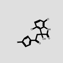 O=C(CC1(O)C(=O)Nc2c(Cl)ccc(Cl)c21)c1ccc(I)cc1